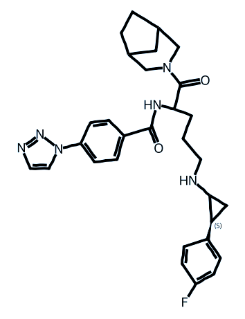 O=C(NC(CCCNC1C[C@H]1c1ccc(F)cc1)C(=O)N1CC2CCC(C2)C1)c1ccc(-n2ccnn2)cc1